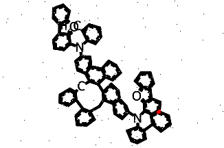 Cc1ccccc1N(c1ccc2c3c(c4ccccc4c2c1)-c1ccc2cc(N(c4ccccc4-c4ccccc4)c4cccc5c4oc4ccccc45)ccc2c1Cc1ccccc1-c1ccccc1C3)c1cccc2c1oc1ccccc12